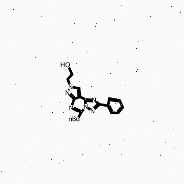 CCCCc1nc2nn(CCO)cc2c2nc(-c3ccccc3)nn12